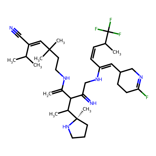 C=C(NCCC(C)(C)/C=C(/C#N)C(C)C)C(C(=N)CNC(/C=C\C(C)C(F)(F)F)=C\C1CCC(F)=NC1)C(C)[C@@]1(C)CCCN1